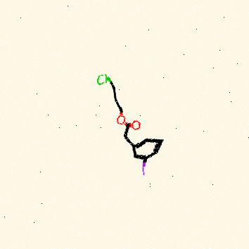 O=C(Cc1cccc(I)c1)OCCCCl